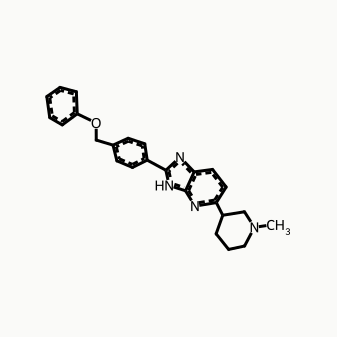 CN1CCCC(c2ccc3nc(-c4ccc(COc5ccccc5)cc4)[nH]c3n2)C1